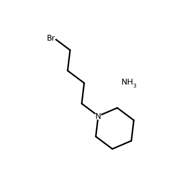 BrCCCCN1CCCCC1.N